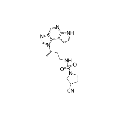 C=C(CCNS(=O)(=O)N1CCC(C#N)C1)n1cnc2cnc3[nH]ccc3c21